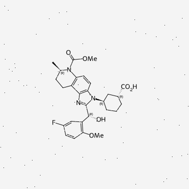 COC(=O)N1c2ccc3c(nc([C@H](O)c4cc(F)ccc4OC)n3[C@@H]3CCC[C@@H](C(=O)O)C3)c2CC[C@H]1C